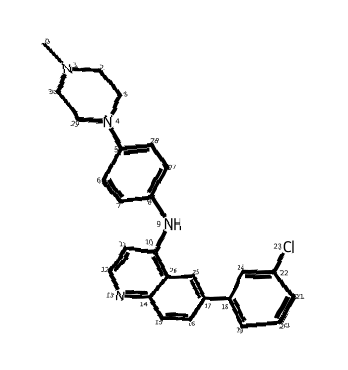 CN1CCN(c2ccc(Nc3ccnc4ccc(-c5cccc(Cl)c5)cc34)cc2)CC1